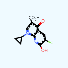 O=C(O)c1cn(C2CC2)c2nc(O)c(F)cc2c1=O